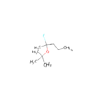 CCCC(C)(F)OC(C)(C)C